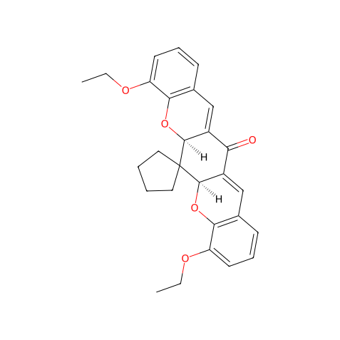 CCOc1cccc2c1O[C@@H]1C(=C2)C(=O)C2=Cc3cccc(OCC)c3O[C@@H]2C12CCCC2